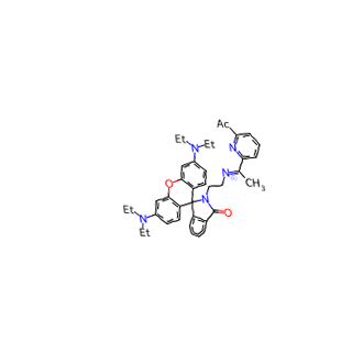 CCN(CC)c1ccc2c(c1)Oc1cc(N(CC)CC)ccc1C21c2ccccc2C(=O)N1CC/N=C(\C)c1cccc(C(C)=O)n1